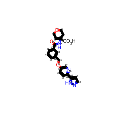 O=C(NC1(C(=O)O)CCOCC1)c1cccc(COc2ccc(-c3ccn[nH]3)nc2)c1